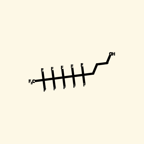 O[CH]CCC(F)(F)C(F)(F)C(F)(F)C(F)(F)C(F)(F)C(F)(F)F